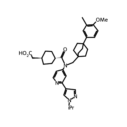 COc1ccc(C23CCC(CN(c4ccnc(-c5cnn(C(C)C)c5)c4)C(=O)[C@H]4CC[C@H](CC(=O)O)CC4)(CC2)CC3)cc1C